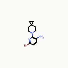 Nc1ccc(Br)nc1N1CCC2(CC1)CC2